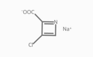 O=C([O-])C1=NC=C1Cl.[Na+]